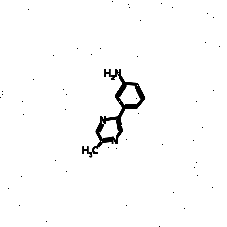 Cc1cnc(-c2cccc(N)c2)cn1